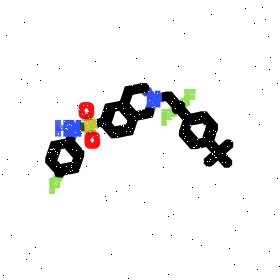 CC(C)(C)c1ccc(C(F)(F)CN2CCc3cc(S(=O)(=O)Nc4ccc(F)cc4)ccc3C2)cc1